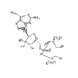 CCOC(=O)[C@@H](CC(C)C)NP(=O)(N[C@H](CC(C)C)C(=O)OCC)OC[C@H]1OC(n2cnc3c(OC)nc(N)nc32)C(C)(O)[C@H]1O